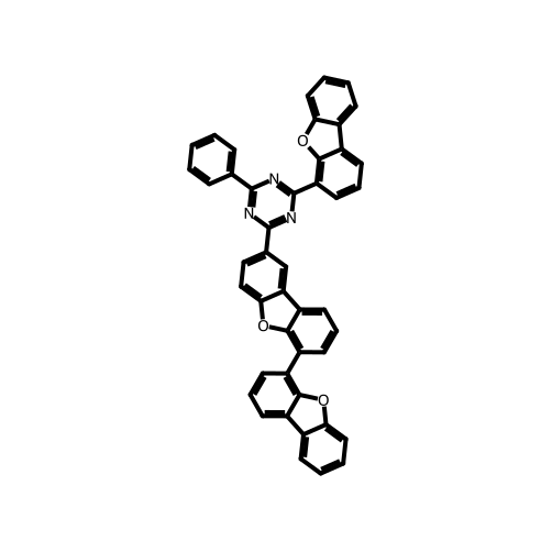 c1ccc(-c2nc(-c3ccc4oc5c(-c6cccc7c6oc6ccccc67)cccc5c4c3)nc(-c3cccc4c3oc3ccccc34)n2)cc1